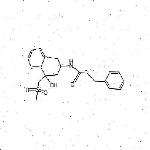 CS(=O)(=O)CC1(O)CC(NC(=O)OCc2ccccc2)Cc2ccccc21